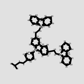 CC(C)CCc1ccc(-n2c3ccc(CCn4c5ccccc5c5ccccc54)cc3c3cc(CCn4c5ccccc5c5ccccc54)ccc32)cc1